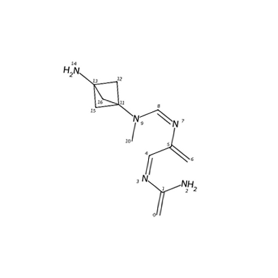 C=C(N)/N=C\C(=C)/N=C\N(C)C12CC(N)(C1)C2